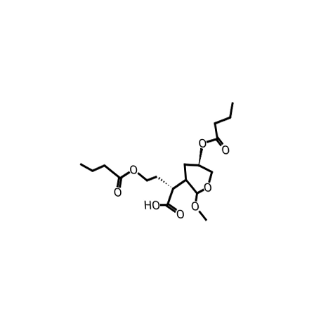 CCCC(=O)OCC[C@@H](C(=O)O)C1C[C@@H](OC(=O)CCC)COC1OC